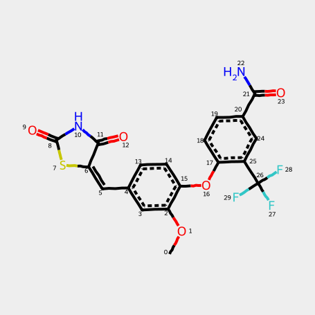 COc1cc(/C=C2/SC(=O)NC2=O)ccc1Oc1ccc(C(N)=O)cc1C(F)(F)F